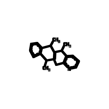 CC1C2=C(C(C)c3ccccc31)C(C)c1cccnc1C2